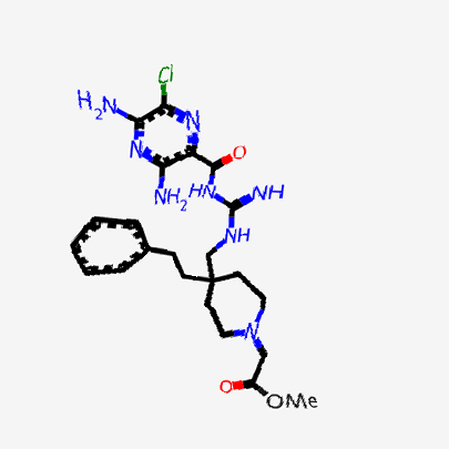 COC(=O)CN1CCC(CCc2ccccc2)(CNC(=N)NC(=O)c2nc(Cl)c(N)nc2N)CC1